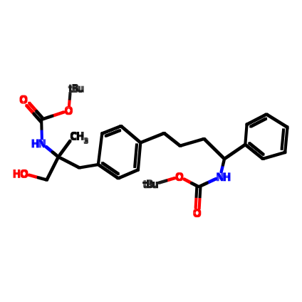 CC(CO)(Cc1ccc(CCCC(NC(=O)OC(C)(C)C)c2ccccc2)cc1)NC(=O)OC(C)(C)C